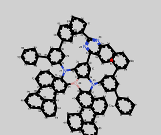 c1ccc(-c2cc(-c3ccccc3)cc(N3c4cc(-c5nc(-c6ccccc6)nc6ccccc56)cc5c4B(c4cc6c7cccc8cccc(c9cccc(c43)c96)c87)c3cc4c6cccc7cccc(c8cccc(c3N5c3cc(-c5ccccc5)cc(-c5ccccc5)c3)c84)c76)c2)cc1